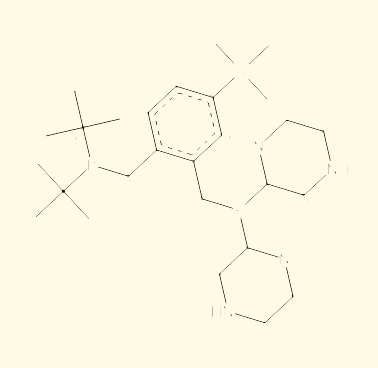 CC(C)(C)P(Cc1ccc([Si](C)(C)C)cc1CP(C1CNCCN1)C1CNCCN1)C(C)(C)C